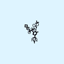 Cc1ncc(-c2cc(C)c3c(c2)c(C(=O)N2CC4(CCC4)C2)nn3CC(=O)OC(C)(C)C)cn1